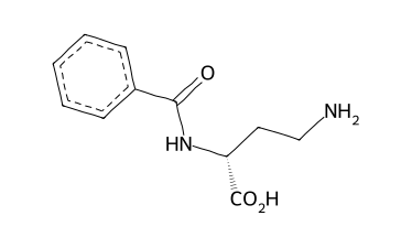 NCC[C@@H](NC(=O)c1ccccc1)C(=O)O